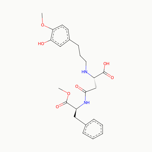 COC(=O)[C@H](Cc1ccccc1)NC(=O)C[C@H](NCCCc1ccc(OC)c(O)c1)C(=O)O